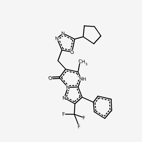 Cc1[nH]c2c(-c3ccccc3)c(C(F)(F)F)nn2c(=O)c1Cc1nnc(C2CCCC2)o1